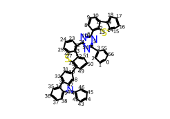 c1ccc(-c2nc(-c3cccc4c3sc3ccccc34)nc(-c3cccc4sc5c(-c6ccc7c8ccccc8n(-c8ccccc8)c7c6)cccc5c34)n2)cc1